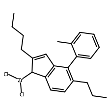 CCCCC1=Cc2c(ccc(CCC)c2-c2ccccc2C)[CH]1[Zr]([Cl])[Cl]